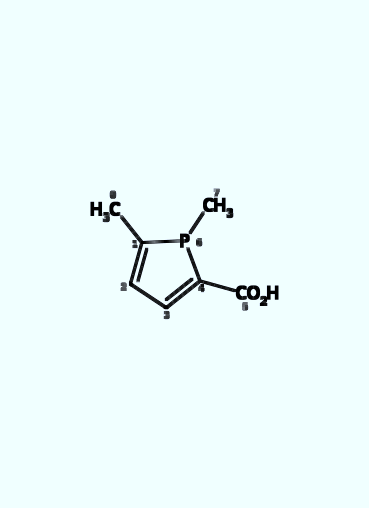 Cc1ccc(C(=O)O)p1C